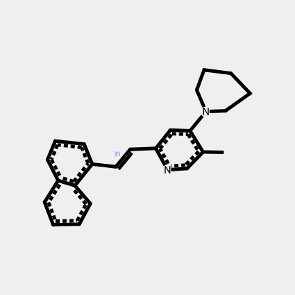 Cc1cnc(/C=C/c2cccc3ccccc23)cc1N1CCCCC1